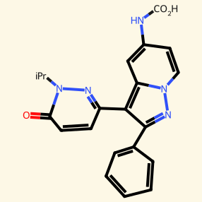 CC(C)n1nc(-c2c(-c3ccccc3)nn3ccc(NC(=O)O)cc23)ccc1=O